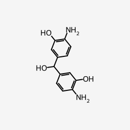 Nc1ccc(C(O)c2ccc(N)c(O)c2)cc1O